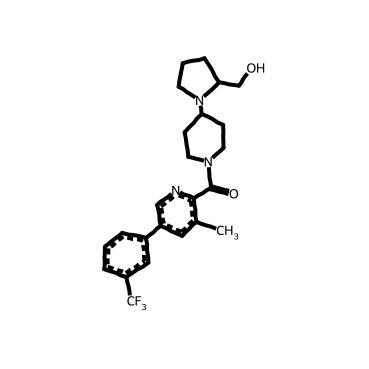 Cc1cc(-c2cccc(C(F)(F)F)c2)cnc1C(=O)N1CCC(N2CCCC2CO)CC1